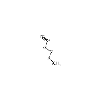 CSSSS#N